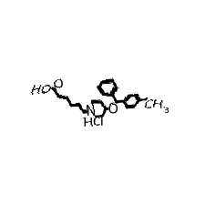 CCc1ccc(C(OC2CCN(CCCCCC(=O)O)CC2)c2ccccc2)cc1.Cl